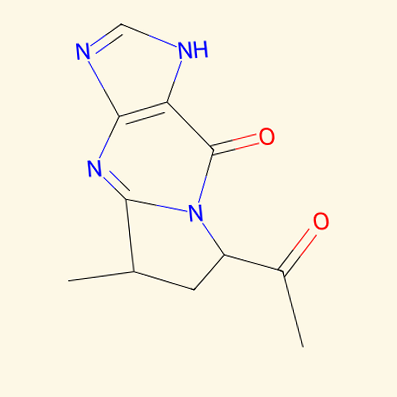 CC(=O)C1CC(C)c2nc3nc[nH]c3c(=O)n21